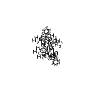 CN[C@H](C(=O)N[C@H](C(=O)N(C)[C@H](C=C(C)C(=O)NS(=O)(=O)Cc1ccccc1)C(C)C)C(C)(C)C)C(C)(C)c1ccccc1